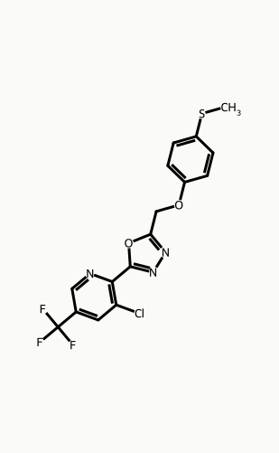 CSc1ccc(OCc2nnc(-c3ncc(C(F)(F)F)cc3Cl)o2)cc1